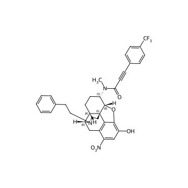 CN(C(=O)C#Cc1ccc(C(F)(F)F)cc1)[C@H]1CC[C@H]2[C@H]3Cc4c([N+](=O)[O-])cc(O)c5c4[C@@]2(CCN3CCc2ccccc2)[C@H]1O5